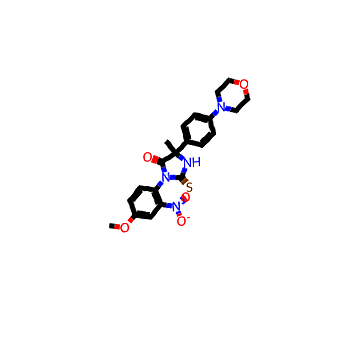 COc1ccc(N2C(=O)C(C)(c3ccc(N4CCOCC4)cc3)NC2=S)c([N+](=O)[O-])c1